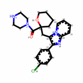 O=C(N1CCNCC1)C1(Cc2c(-c3ccc(Cl)cc3)nc3ccccn23)CCCCO1